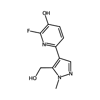 Cn1ncc(-c2ccc(O)c(F)n2)c1CO